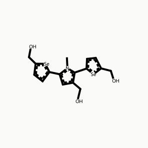 Cn1c(-c2ccc(CO)[se]2)cc(CO)c1-c1ccc(CO)[se]1